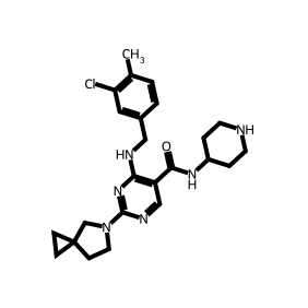 Cc1ccc(CNc2nc(N3CCC4(CC4)C3)ncc2C(=O)NC2CCNCC2)cc1Cl